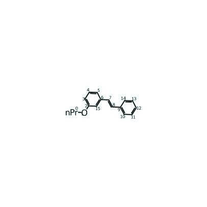 CCCOc1cccc(C=Cc2ccccc2)c1